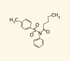 CCCCC(=O)N(c1ccccc1)S(=O)(=O)c1ccc(C)cc1